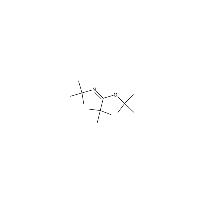 CC(C)(C)/N=C(/OC(C)(C)C)C(C)(C)C